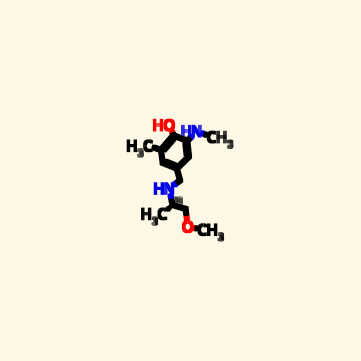 CNc1cc(CN[C@H](C)COC)cc(C)c1O